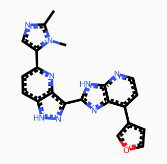 Cc1ncc(-c2ccc3[nH]nc(-c4nc5c(-c6ccoc6)ccnc5[nH]4)c3n2)n1C